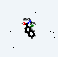 CON(C)C(=O)c1ccc2ccccc2c1Br